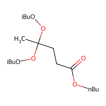 CCCCOC(=O)CCC(C)(OOCC(C)C)OOCC(C)C